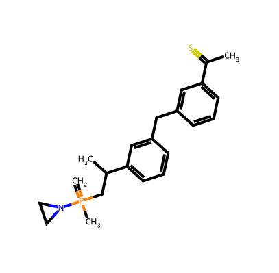 C=P(C)(CC(C)c1cccc(Cc2cccc(C(C)=S)c2)c1)N1CC1